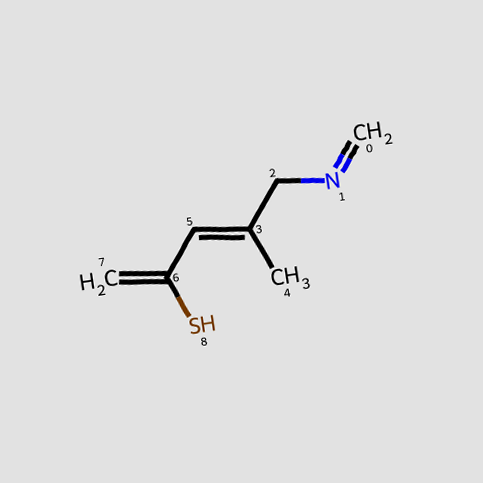 C=NC/C(C)=C/C(=C)S